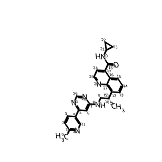 Cc1ccc(-c2cc(NC[C@@H](C)c3cccc4c(C(=O)NC5CC5)ccnc34)ncn2)cn1